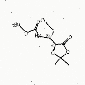 CC(C)C[C@@H](NC(=O)OC(C)(C)C)[C@@H]1OC(C)(C)OC1=O